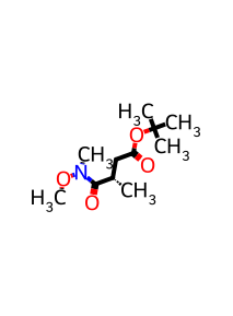 CON(C)C(=O)[C@@H](C)CC(=O)OC(C)(C)C